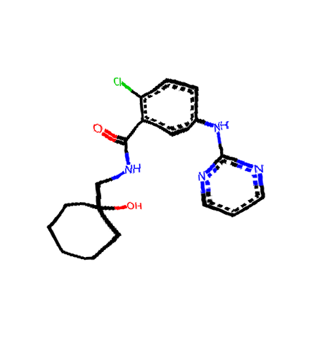 O=C(NCC1(O)CCCCC1)c1cc(Nc2ncccn2)ccc1Cl